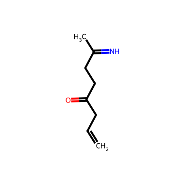 C=CCC(=O)CCC(C)=N